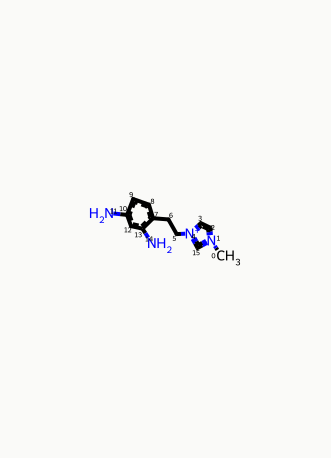 Cn1cc[n+](CCc2ccc(N)cc2N)c1